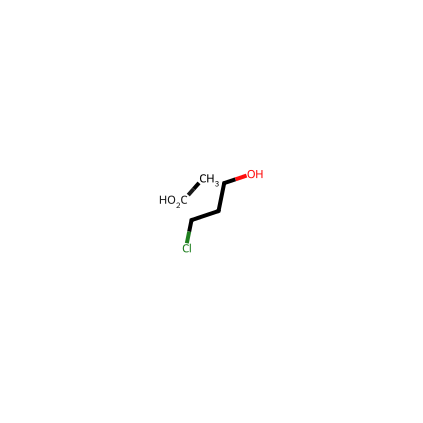 CC(=O)O.OCCCCl